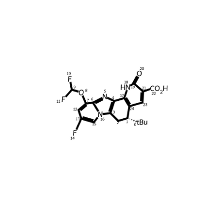 CC(C)(C)[C@@H]1Cc2c(nc3c(OC(F)F)cc(F)cn23)-c2[nH]c(=O)c(C(=O)O)cc21